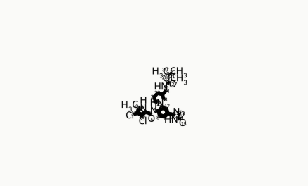 Cc1[nH]c(C(=O)Nc2ccc(-c3noc(=O)[nH]3)cc2N2CCCC(CNC(=O)OC(C)(C)C)C2)c(Cl)c1Cl